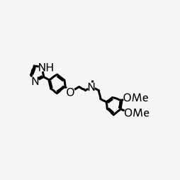 COc1ccc(CCN(C)CCOc2ccc(-c3ncc[nH]3)cc2)cc1OC